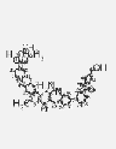 CCCN(Cc1ccc(CN2CCN(C(=O)OC(C)(C)C)CC2)cc1)C(=O)C1=Cc2ccc(-c3cccc(S(=O)(=O)N4CC(CO)C4)c3)cc2N=C(N)C1